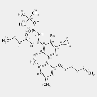 C=CCCCOc1cc(C)cc(C)c1-c1cc(C2CC2)c(F)c([C@H](CC(=O)OCC)NC(=O)OC(C)(C)C)c1F